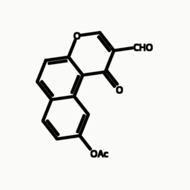 CC(=O)Oc1ccc2ccc3occ(C=O)c(=O)c3c2c1